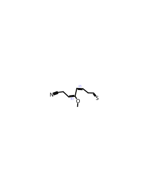 COC(/C=C\CC=S)=C/CC#N